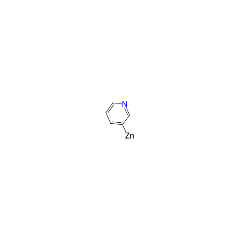 [Zn][c]1cccnc1